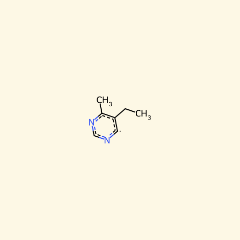 CCc1[c]ncnc1C